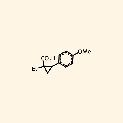 CCC1(C(=O)O)CC1c1ccc(OC)cc1